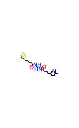 Cc1ccc(/C=C/CC(=O)NCCNC(=O)CCCC[C@@H]2CCSS2)cn1